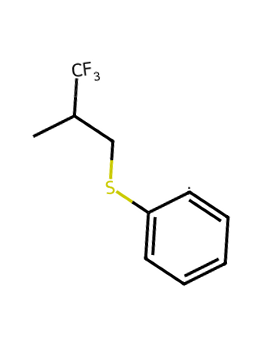 CC(CSc1[c]cccc1)C(F)(F)F